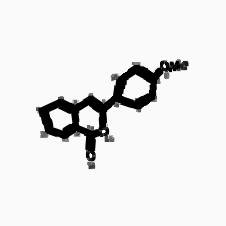 COc1ccc(-c2cc3ccccc3c(=O)o2)cc1